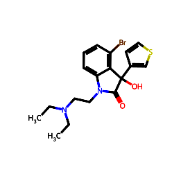 CCN(CC)CCN1C(=O)C(O)(c2ccsc2)c2c(Br)cccc21